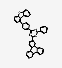 c1ccc(-c2nc(-c3ccc(-c4cccc5oc6ccccc6c45)cc3)nc(-c3ccc4c5ccccc5c5ccccc5c4c3)n2)cc1